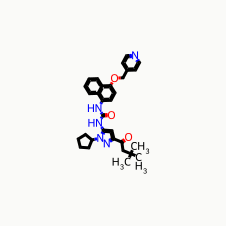 CC(C)(C)CC(=O)c1cc(NC(=O)Nc2ccc(OCc3ccncc3)c3ccccc23)n(C2CCCC2)n1